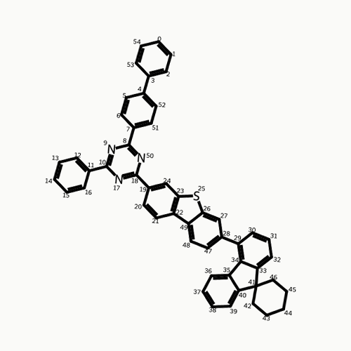 c1ccc(-c2ccc(-c3nc(-c4ccccc4)nc(-c4ccc5c(c4)sc4cc(-c6cccc7c6-c6ccccc6C76CCCCC6)ccc45)n3)cc2)cc1